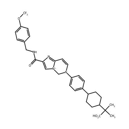 CC(C)(C(=O)O)C1CCC(c2ccc(N3C=CC4=NC(C(=O)NCc5ccc(OC(F)(F)F)cc5)=C[N+]4C3)cc2)CC1